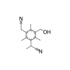 Cc1c(CO)c(C)c(C(C)C#N)c(C)c1CC#N